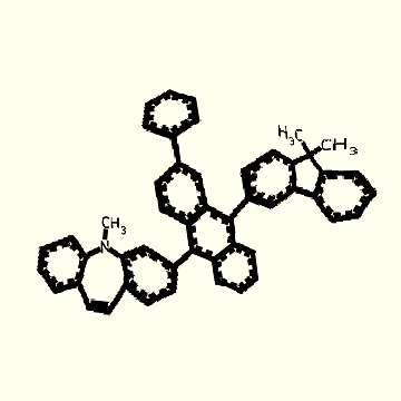 CN1c2ccccc2C=Cc2ccc(-c3c4ccccc4c(-c4ccc5c(c4)-c4ccccc4C5(C)C)c4cc(-c5ccccc5)ccc34)cc21